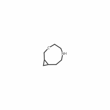 C1CCC2CC2CCNC1